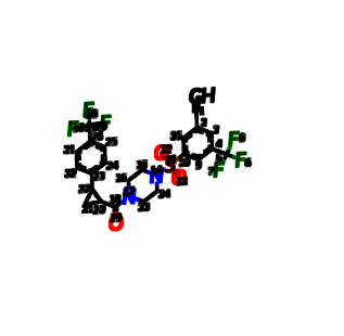 C#Cc1cc(C(F)(F)F)cc(S(=O)(=O)N2CCN(C(=O)C3CC3c3ccc(C(F)(F)F)cc3)CC2)c1